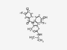 Cc1c(CC(=O)NC(C)C)c2c(F)c(O)ccc2n1C(=O)c1ccc(Cl)c(F)c1